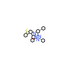 c1ccc(-c2ccc(-n3c4ccccc4c4c5c(ccc43)sc3ccccc35)c(-c3nc(-c4ccccc4)nc(-c4ccccc4)n3)c2)cc1